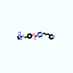 O=C(Oc1ccc(CSc2ncc[nH]2)cc1)N1CCN(CCCc2cccnc2)CC1